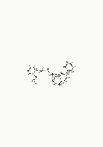 COCc1ccccc1C#CCCNc1ncnc2ccc(-c3ccccc3)cc12